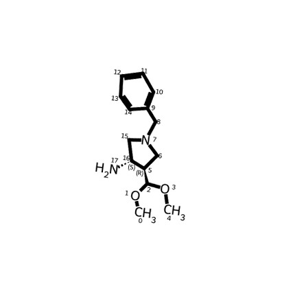 COC(OC)[C@@H]1CN(Cc2ccccc2)C[C@H]1N